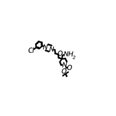 CC(C)(C)OC(=O)N1CCC(CCCCN2CCN(c3cccc(Cl)c3)CC2)(C(N)=O)CC1